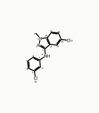 Cn1nc(Nc2cccc(Cl)c2)c2cc(Cl)ccc21